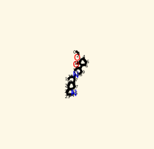 CCOc1cccc2c3c(oc12)CN(C(CC)Cc1ccc2cccnc2c1)CC3